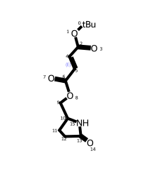 CC(C)(C)OC(=O)/C=C/C(=O)OCC1CCC(=O)N1